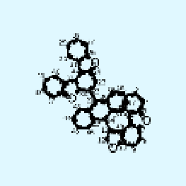 c1ccc2c(c1)oc1ccc3occ(-c4c5ccccc5c(-c5cc6oc7ccccc7c6c6c5oc5ccccc56)c5ccccc45)c3c12